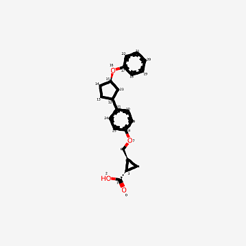 O=C(O)[C@H]1C[C@@H]1COc1ccc(C2CC[C@@H](Oc3ccccc3)C2)cc1